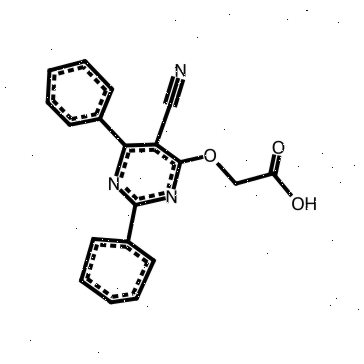 N#Cc1c(OCC(=O)O)nc(-c2ccccc2)nc1-c1ccccc1